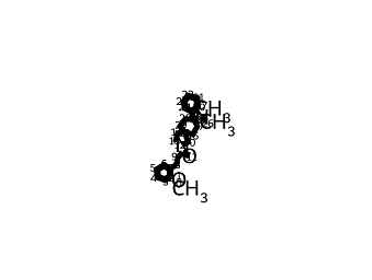 COc1ccccc1CCC(=O)N1CCC2(CCC(c3ccccc3)(N(C)C)CC2)C1